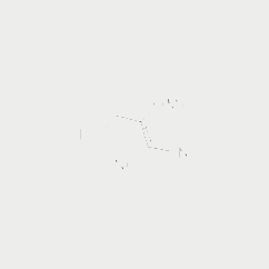 COC(CC(F)(F)F)=C(C#N)C#N